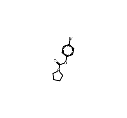 O=C(Oc1ccc(Br)cc1)N1CCCC1